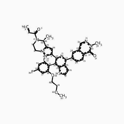 C=CC(=O)N1CCn2nc(-c3nc(-c4ccc5c(=O)n(C)ncc5c4)c4ccsc4c3-c3c(F)cc(F)cc3OCCOC)cc2[C@@H]1C